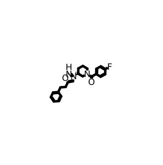 O=C(c1ccc(F)cc1)N1CCC[C@H](N2C=C(CCc3ccccc3)ON2)C1